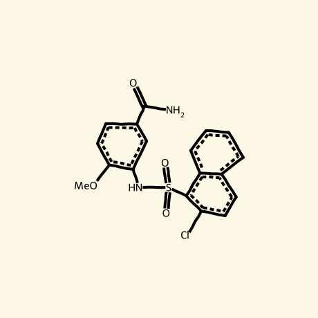 COc1ccc(C(N)=O)cc1NS(=O)(=O)c1c(Cl)ccc2ccccc12